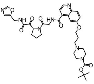 CC(C)(C)OC(=O)N1CCN(CCCOc2ccc3nccc(C(=O)NCC(=O)N4CCC[C@H]4C(=O)C(=O)NCc4cnco4)c3c2)CC1